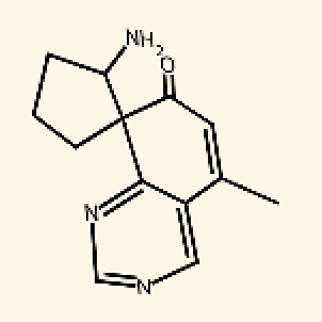 CC1=CC(=O)C2(CCCC2N)c2ncncc21